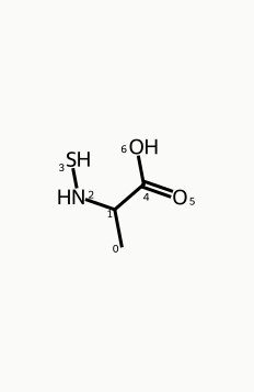 CC(NS)C(=O)O